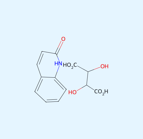 O=C(O)C(O)C(O)C(=O)O.O=c1ccc2ccccc2[nH]1